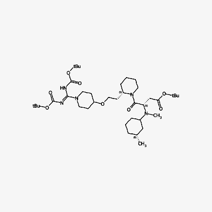 C[C@@H]1CCCC(N(C)[C@@H](CC(=O)OC(C)(C)C)C(=O)N2CCCC[C@H]2CCOC2CCN(C(=NC(=O)OC(C)(C)C)NC(=O)OC(C)(C)C)CC2)C1